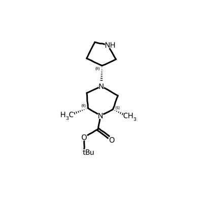 C[C@@H]1CN([C@@H]2CCNC2)C[C@H](C)N1C(=O)OC(C)(C)C